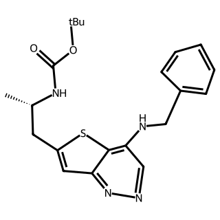 C[C@@H](Cc1cc2nncc(NCc3ccccc3)c2s1)NC(=O)OC(C)(C)C